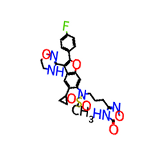 CS(=O)(=O)N(CCCc1noc(=O)[nH]1)c1cc2oc(-c3ccc(F)cc3)c(C3=NOCCN3)c2cc1C1CC1